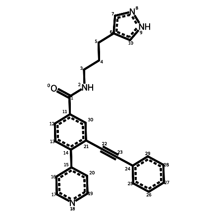 O=C(NCCCc1cn[nH]c1)c1ccc(-c2ccncc2)c(C#Cc2ccccc2)c1